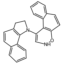 C1=C(N2CCc3ccc4ccccc4c32)c2c(ccc3ccccc23)ON1